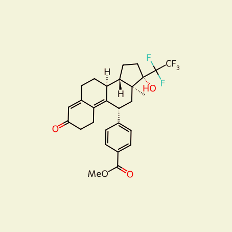 COC(=O)c1ccc([C@H]2C[C@@]3(C)[C@@H](CC[C@@]3(O)C(F)(F)C(F)(F)F)[C@@H]3CCC4=CC(=O)CCC4=C32)cc1